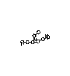 c1ccc(-c2cccc(-n3c4cc(-c5ccc(-c6ccccn6)cc5)ccc4c4ccc(-c5ccc(-c6ccccn6)cc5)cc43)c2)cc1